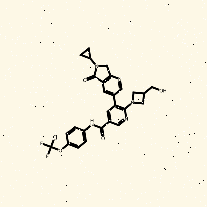 O=C(Nc1ccc(OC(F)(F)Cl)cc1)c1cnc(N2CC(CO)C2)c(-c2cnc3c(c2)C(=O)N(C2CC2)C3)c1